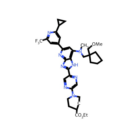 CCOC(=O)C1CCN(c2cnc(-c3nc4nc(-c5cc(C6CC6)nc(C(F)(F)F)c5)cc(N(C)CC5(COC)CCCC5)c4[nH]3)cn2)CC1